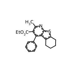 CCOC(=O)c1c(C)nc2sc3c(c2c1-c1ccccc1)CCCC3